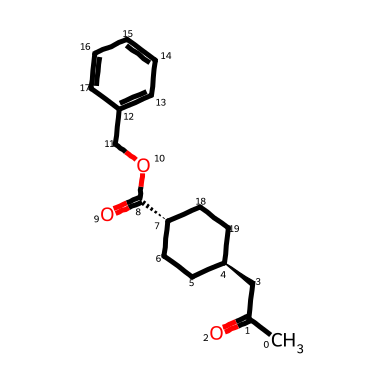 CC(=O)C[C@H]1CC[C@H](C(=O)OCc2ccccc2)CC1